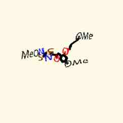 COCCCOc1cc(OC)cc2oc(-c3nc4sc(OC)nc4s3)cc12